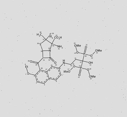 CCOc1ccc2ccc(NCCC(O)(P(=O)(OOC)OOC)P(=O)(OOC)OOC)cc2c1C(=O)C1C(=O)N2C1SC(C)(C)C2(N)C(=O)O